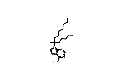 CCCCCCCC(C)(CCCCC)n1cnc2c(N)ncnc21